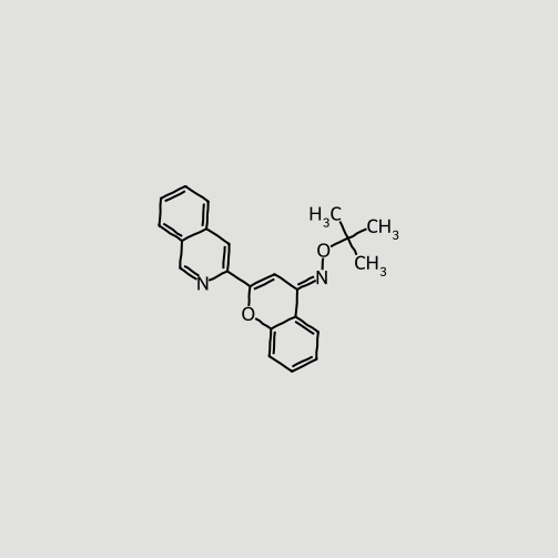 CC(C)(C)ON=c1cc(-c2cc3ccccc3cn2)oc2ccccc12